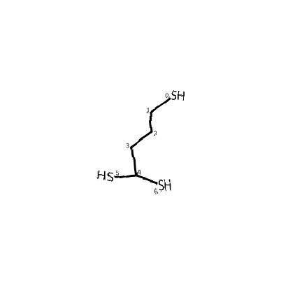 SCCCC(S)S